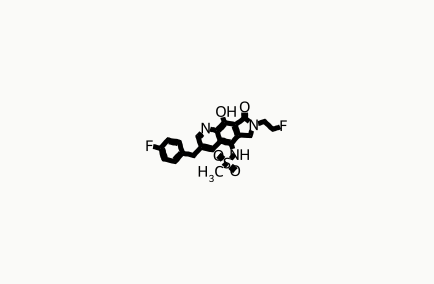 CS(=O)(=O)Nc1c2c(c(O)c3ncc(Cc4ccc(F)cc4)cc13)C(=O)N(CCF)C2